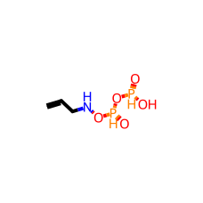 C=CCNO[PH](=O)O[PH](=O)O